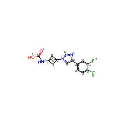 O=C(O)NC12CC(n3cnc(-c4ccc(Cl)c(F)c4)c3)(C1)C2